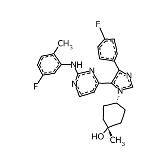 Cc1ccc(F)cc1Nc1nccc(-c2c(-c3ccc(F)cc3)ncn2[C@H]2CC[C@@](C)(O)CC2)n1